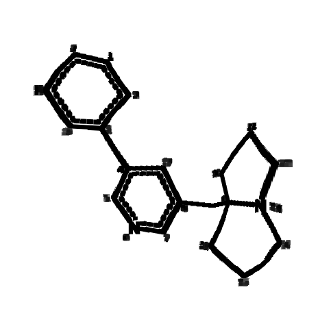 c1ccc(-c2cncc(C34CCCN3CCC4)c2)cc1